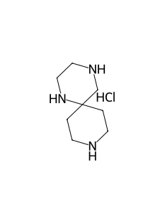 C1CC2(CCN1)CNCCN2.Cl